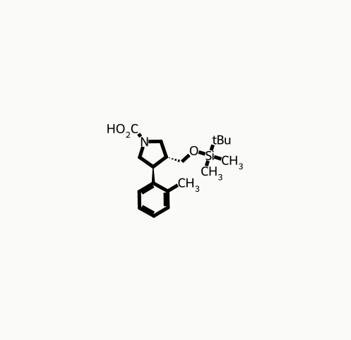 Cc1ccccc1[C@H]1CN(C(=O)O)C[C@@H]1CO[Si](C)(C)C(C)(C)C